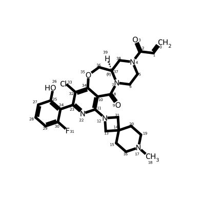 C=CC(=O)N1CCN2C(=O)c3c(N4CC5(CCN(C)CC5)C4)nc(-c4c(O)cccc4F)c(Cl)c3OC[C@H]2C1